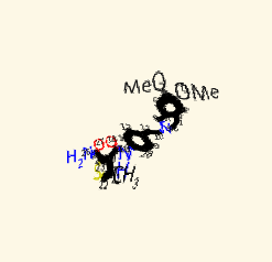 COc1cc2c(cc1OC)CN(CCc1ccc(NC(=O)c3c(C)csc3C(N)=O)cc1)CC2